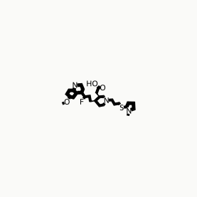 COc1ccc2nccc(C(F)CC[C@@H]3CCN(CCCSc4cccn4C)C[C@@H]3CC(=O)O)c2c1